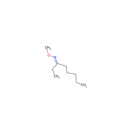 CCCCC/C(CC)=N/OC